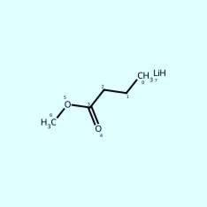 CCCC(=O)OC.[LiH]